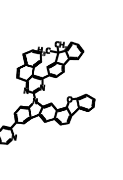 CC1(C)c2ccccc2-c2ccc(-c3nc(-n4c5ccc(-c6ccccn6)cc5c5cc6ccc7c8ccccc8oc7c6cc54)nc4ccc5ccccc5c34)cc21